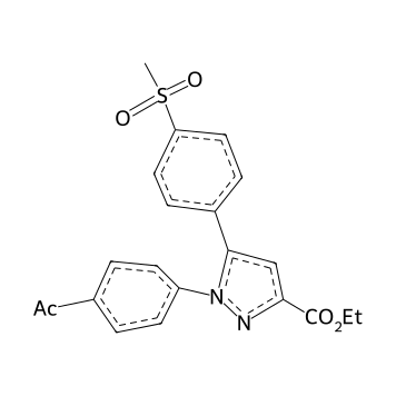 CCOC(=O)c1cc(-c2ccc(S(C)(=O)=O)cc2)n(-c2ccc(C(C)=O)cc2)n1